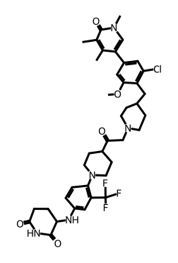 COc1cc(-c2cn(C)c(=O)c(C)c2C)cc(Cl)c1CC1CCN(CC(=O)C2CCN(c3ccc(NC4CCC(=O)NC4=O)cc3C(F)(F)F)CC2)CC1